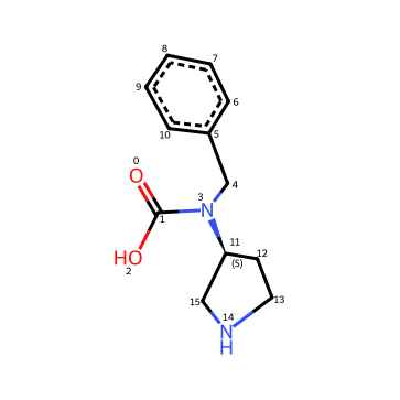 O=C(O)N(Cc1ccccc1)[C@H]1CCNC1